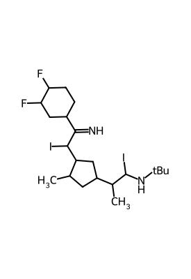 CC1CC(C(C)C(I)NC(C)(C)C)CC1C(I)C(=N)C1CCC(F)C(F)C1